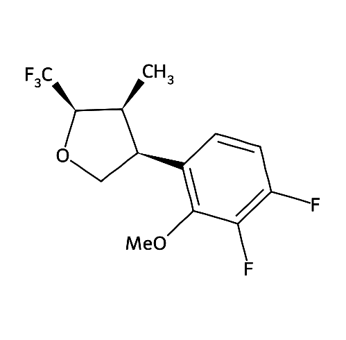 COc1c([C@H]2CO[C@@H](C(F)(F)F)[C@H]2C)ccc(F)c1F